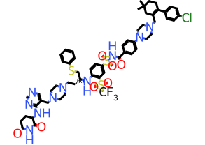 CC1(C)CCC(c2ccc(Cl)cc2)=C(CN2CCN(c3ccc(C(=O)NS(=O)(=O)c4ccc(N[C@H](CCN5CCN(Cc6cncnc6NC6CCC(=O)NC6=O)CC5)CSc5ccccc5)c(S(=O)(=O)C(F)(F)F)c4)cc3)CC2)C1